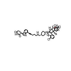 CC(C)(C)C[C@@H]1N[C@@H](C(=O)N[C@H]2CC[C@H](CNCCCC#Cc3cccn4c(N5CCC(=O)NC5=O)cnc34)CC2)[C@H](c2cccc(Cl)c2F)[C@@]1(C#N)c1ccc(Cl)cc1F